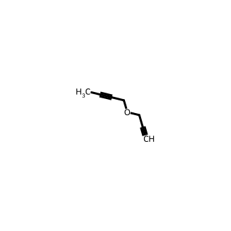 C#CCOCC#CC